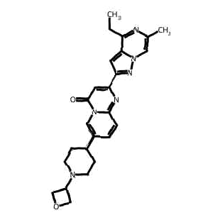 CCc1nc(C)cn2nc(-c3cc(=O)n4cc(C5CCN(C6COC6)CC5)ccc4n3)cc12